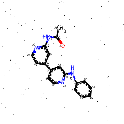 CC(=O)Nc1cc(-c2ccnc(Nc3ccccc3)c2)ccn1